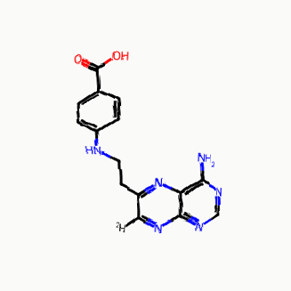 [2H]c1nc2ncnc(N)c2nc1CCNc1ccc(C(=O)O)cc1